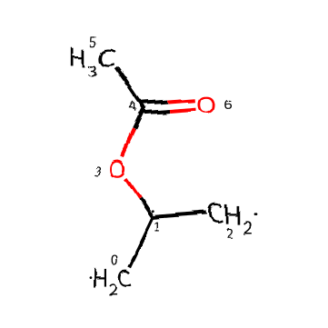 [CH2][C]([CH2])OC(C)=O